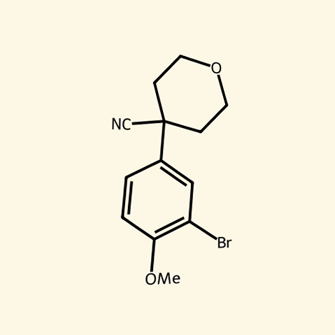 COc1ccc(C2(C#N)CCOCC2)cc1Br